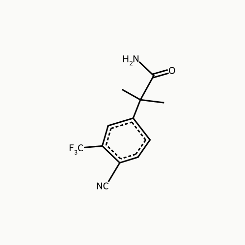 CC(C)(C(N)=O)c1ccc(C#N)c(C(F)(F)F)c1